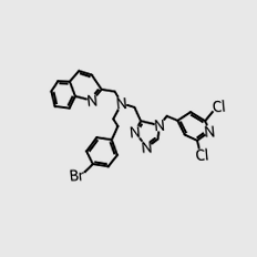 Clc1cc(Cn2cnnc2CN(CCc2ccc(Br)cc2)Cc2ccc3ccccc3n2)cc(Cl)n1